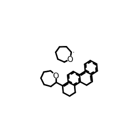 C1=c2ccccc2=c2ccc3c(c2C1)CCCC=3C1CCCCCO1.[CH]1CCCCCO1